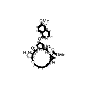 COC(=O)[C@@]12C[C@H]1/C=C\CCCO[C@H](C)[C@H](N)C(=O)N1C[C@H](Oc3nccc4cc(OC)ccc34)C[C@H]1C(=O)N2